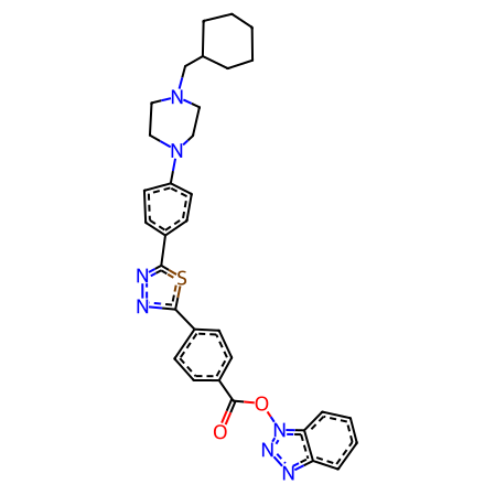 O=C(On1nnc2ccccc21)c1ccc(-c2nnc(-c3ccc(N4CCN(CC5CCCCC5)CC4)cc3)s2)cc1